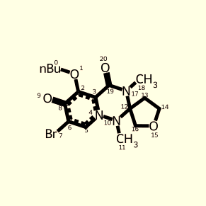 CCCCOc1c2n(cc(Br)c1=O)N(C)C1(CCOC1)N(C)C2=O